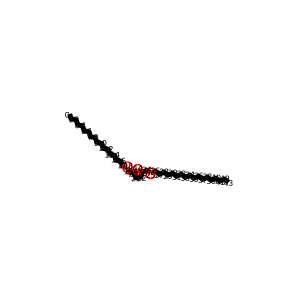 CCCCCCCCCCCCCCCCCCOCC1CCC(COCCCCCCCCCCCCCCCCCC)O1